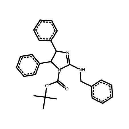 CC(C)(C)OC(=O)N1C(NCc2ccccc2)=NC(c2ccccc2)C1c1ccccc1